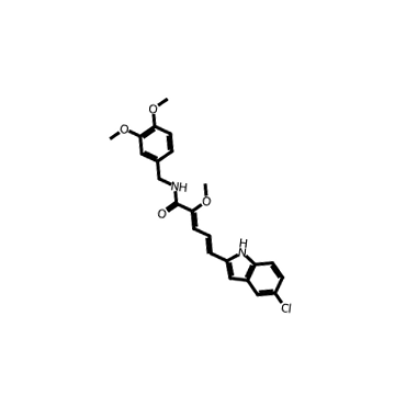 COC(=CC=Cc1cc2cc(Cl)ccc2[nH]1)C(=O)NCc1ccc(OC)c(OC)c1